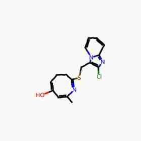 CC1=C/C(O)=C\CC/C(SCc2c(Cl)nc3ccccn23)=N\1